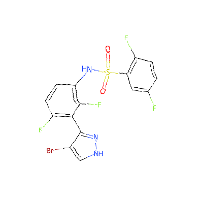 O=S(=O)(Nc1ccc(F)c(-c2n[nH]cc2Br)c1F)c1cc(F)ccc1F